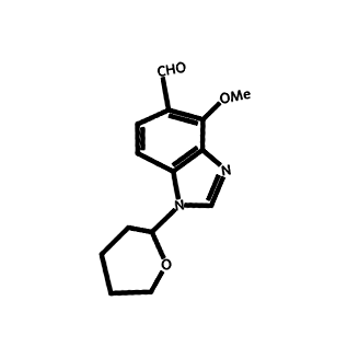 COc1c(C=O)ccc2c1ncn2C1CCCCO1